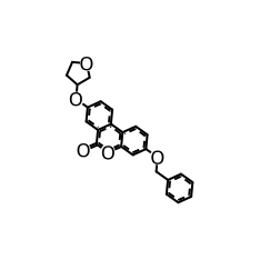 O=c1oc2cc(OCc3ccccc3)ccc2c2ccc(OC3CCOC3)cc12